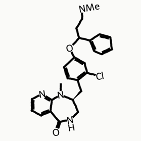 CNCCC(Oc1ccc(C[C@H]2CNC(=O)c3cccnc3N2C)c(Cl)c1)c1ccccc1